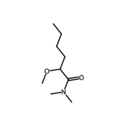 CCCCC(OC)C(=O)N(C)C